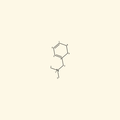 CN(C)CC1=CC=CCC1